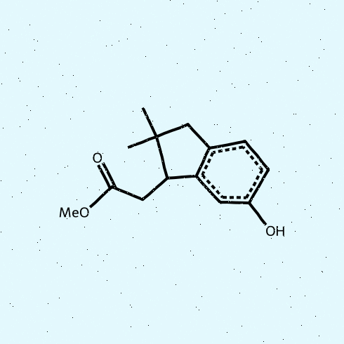 COC(=O)CC1c2cc(O)ccc2CC1(C)C